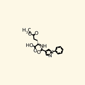 COC(=O)CC[C@H](NC(=O)c1cnn(-c2ccccc2)c1)C(=O)O